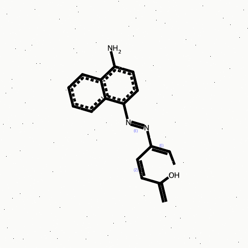 C=C(O)\C=C/C(=C\C)/N=N/c1ccc(N)c2ccccc12